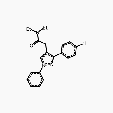 CCN(CC)C(=O)Cc1cn(-c2ccccc2)nc1-c1ccc(Cl)cc1